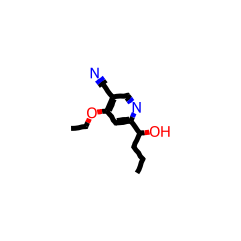 CCCC(O)c1cc(OCC)c(C#N)cn1